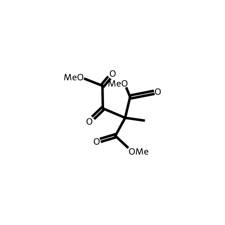 COC(=O)C(=O)C(C)(C(=O)OC)C(=O)OC